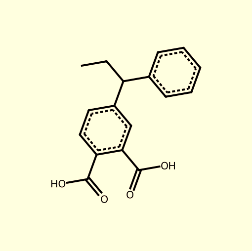 CCC(c1ccccc1)c1ccc(C(=O)O)c(C(=O)O)c1